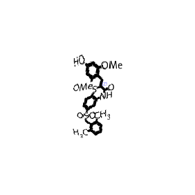 COc1cc(O)cc(OC)c1/C=C1\Sc2ccc(S(=O)(=O)Cc3c(C)cccc3C)cc2NC1=O